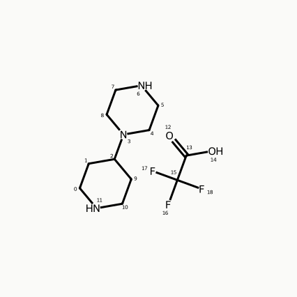 C1CC(N2CCNCC2)CCN1.O=C(O)C(F)(F)F